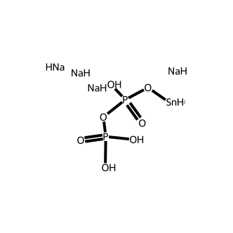 O=P(O)(O)OP(=O)(O)[O][SnH].[NaH].[NaH].[NaH].[NaH]